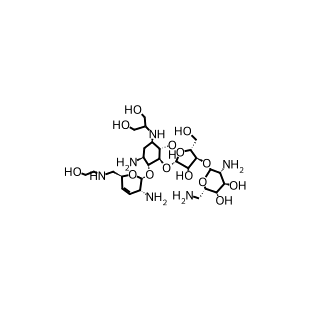 NC[C@@H]1O[C@H](O[C@H]2[C@@H](O)[C@H](O[C@@H]3[C@@H](O)[C@H](NC(CO)CO)C[C@H](N)[C@H]3O[C@H]3O[C@H](CNCCO)C=C[C@H]3N)O[C@@H]2CO)[C@H](N)[C@@H](O)[C@@H]1O